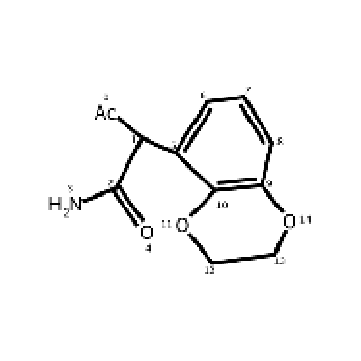 CC(=O)C(C(N)=O)c1cccc2c1OCCO2